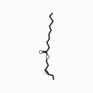 CC/C=C\CCOC(=O)CCCCCCCCC